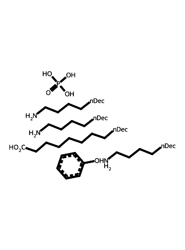 CCCCCCCCCCCCCCCCCC(=O)O.CCCCCCCCCCCCCCN.CCCCCCCCCCCCCCN.CCCCCCCCCCCCCCN.O=P(O)(O)O.Oc1ccccc1